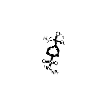 CCCNS(=O)(=O)c1ccc(C(C)(C)CC)cc1